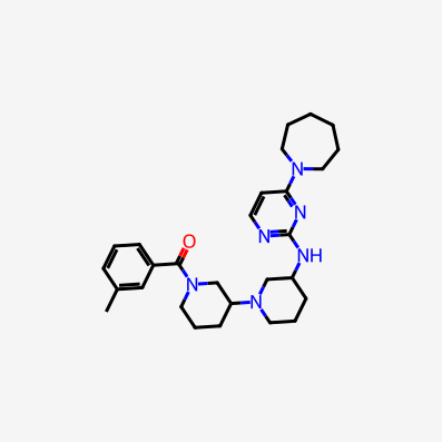 Cc1cccc(C(=O)N2CCCC(N3CCCC(Nc4nccc(N5CCCCCC5)n4)C3)C2)c1